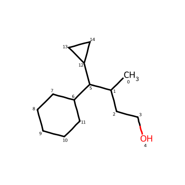 CC(CCO)C(C1CCCCC1)C1CC1